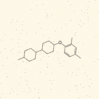 Cc1ccc(OC2CCC(C3CCC(C)CC3)CC2)c(C)c1